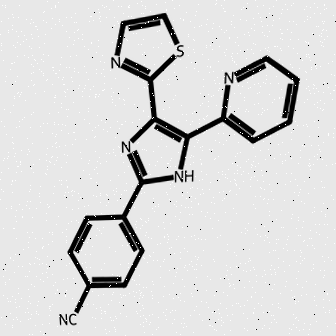 N#Cc1ccc(-c2nc(-c3nccs3)c(-c3ccccn3)[nH]2)cc1